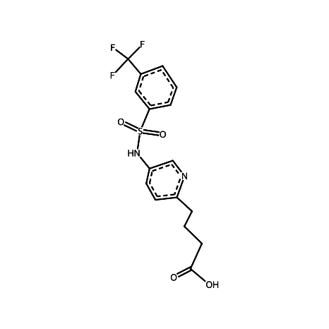 O=C(O)CCCc1ccc(NS(=O)(=O)c2cccc(C(F)(F)F)c2)cn1